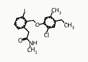 CCc1cc(Cl)c(OCc2c(I)cccc2CC(=O)NC)cc1C